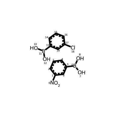 O=[N+]([O-])c1cccc(B(O)O)c1.OB(O)c1cccc(Cl)c1